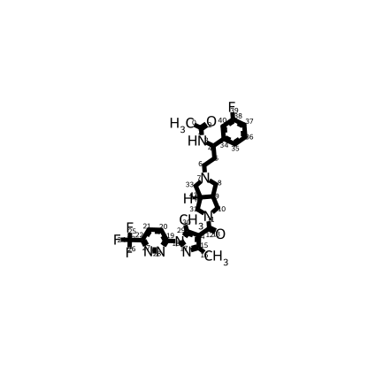 CC(=O)NC(CCN1CC2CN(C(=O)c3c(C)nn(-c4ccc(C(F)(F)F)nn4)c3C)C[C@@H]2C1)c1cccc(F)c1